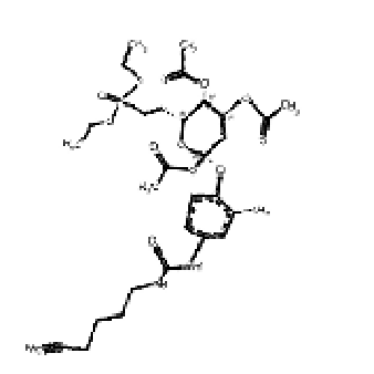 C#CCCCCNC(=O)Nc1ccc(O[C@@]2(OC(C)=O)C[C@H](OC(C)=O)[C@@H](OC(C)=O)[C@@H](CCP(=O)(OCC)OCC)O2)c(C)c1